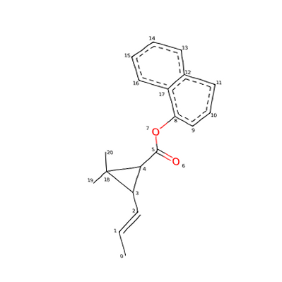 CC=CC1C(C(=O)Oc2cccc3ccccc23)C1(C)C